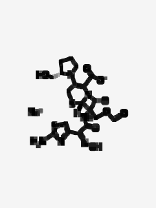 Nc1nc(/C(=N/O)C(=O)NC2(COC=O)C(=O)N3C(C(=O)[O-])=C(N4CCC[C@H]4CO)CS[C@H]32)cs1.[Na+]